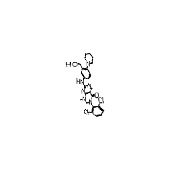 CN1CN(c2c(Cl)cccc2Cl)C(=O)c2cnc(Nc3ccc(N4CCCCC4)c(CO)c3)nc21